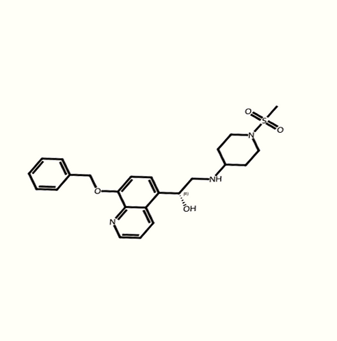 CS(=O)(=O)N1CCC(NC[C@H](O)c2ccc(OCc3ccccc3)c3ncccc23)CC1